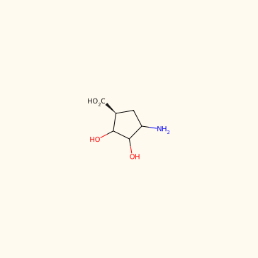 NC1C[C@H](C(=O)O)C(O)C1O